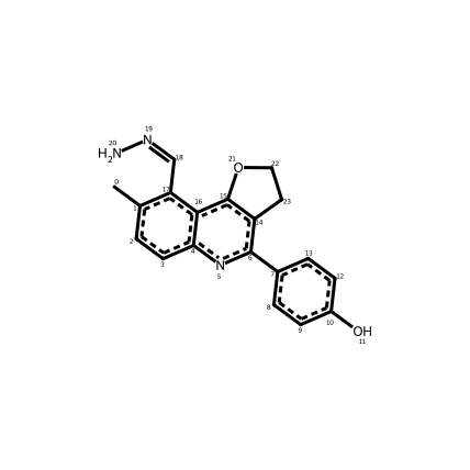 Cc1ccc2nc(-c3ccc(O)cc3)c3c(c2c1/C=N\N)OCC3